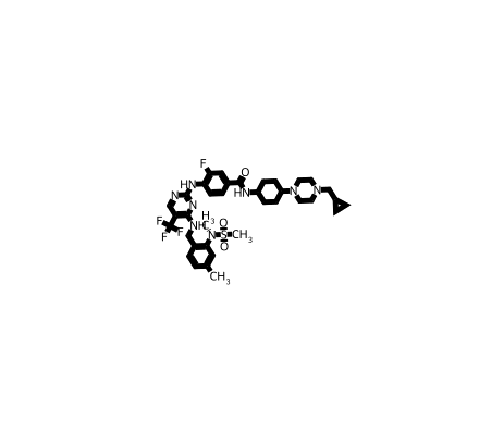 Cc1ccc(CNc2nc(Nc3ccc(C(=O)NC4CCC(N5CCN(CC6CC6)CC5)CC4)cc3F)ncc2C(F)(F)F)c(N(C)S(C)(=O)=O)c1